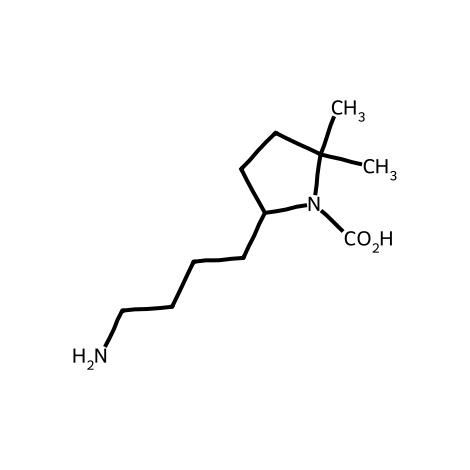 CC1(C)CCC(CCCCN)N1C(=O)O